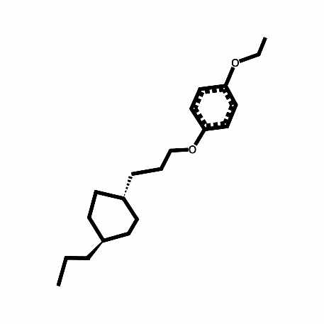 CCC[C@H]1CC[C@H](CCCOc2ccc(OCC)cc2)CC1